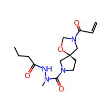 C=CC(=O)N1CO[C@]2(CCN(C(=O)N(C)NC(=O)CCC)C2)C1